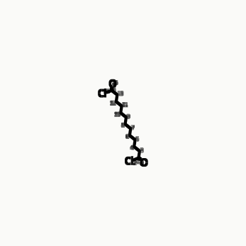 O=C(Cl)CCCCCCCCCCCC(=O)Cl